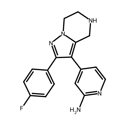 Nc1cc(-c2c(-c3ccc(F)cc3)nn3c2CNCC3)ccn1